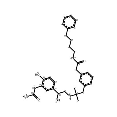 CC(C)(Cc1cccc(CC(=O)NCCCCc2ccccc2)c1)NCC(O)c1ccc(O)c(NC(N)=O)c1